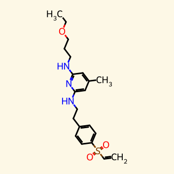 C=CS(=O)(=O)c1ccc(CCNc2cc(C)cc(NCCCOCC)n2)cc1